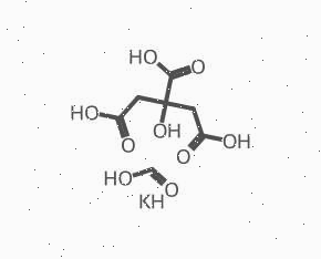 O=C(O)CC(O)(CC(=O)O)C(=O)O.O=CO.[KH]